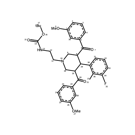 COc1cccc(C(=O)C2CN(CCNC(=O)OC(C)(C)C)CC(C(=O)c3cccc(OC)c3)C2c2cccc(F)c2C)c1